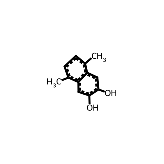 Cc1ccc(C)c2cc(O)c(O)cc12